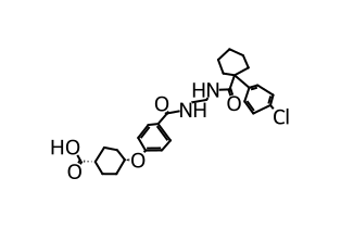 O=C(NCCNC(=O)C1(c2ccc(Cl)cc2)CCCCC1)c1ccc(O[C@H]2CC[C@@H](C(=O)O)CC2)cc1